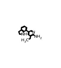 CCc1cc(-c2cccc3c2NCC3)cnc1N